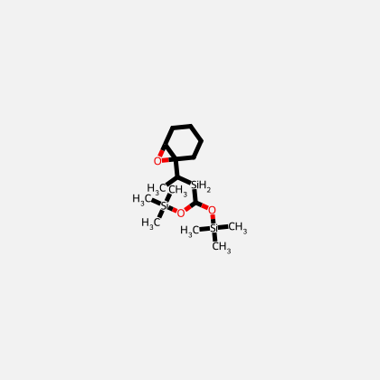 CC([SiH2]C(O[Si](C)(C)C)O[Si](C)(C)C)C12CCCCC1O2